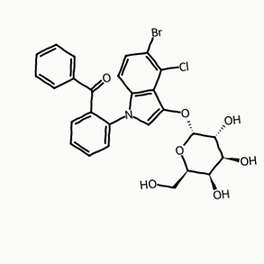 O=C(c1ccccc1)c1ccccc1-n1cc(O[C@H]2O[C@H](CO)[C@H](O)[C@H](O)[C@H]2O)c2c(Cl)c(Br)ccc21